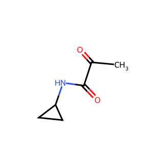 CC(=O)C(=O)NC1CC1